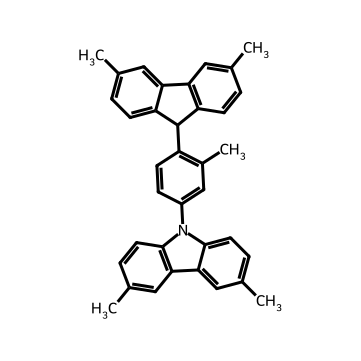 Cc1ccc2c(c1)-c1cc(C)ccc1C2c1ccc(-n2c3ccc(C)cc3c3cc(C)ccc32)cc1C